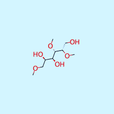 COC[C@@H](O)[C@H](O)[C@H](OC)[C@H](CO)OC